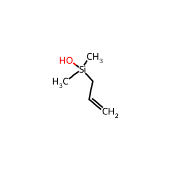 C=CC[Si](C)(C)O